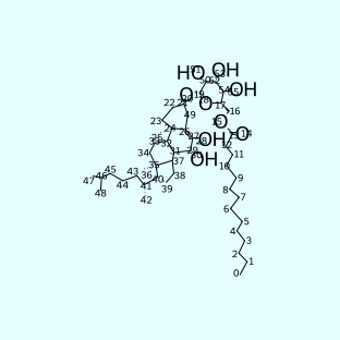 CCCCCCCCCCCCCC(=O)OC[C@H]1O[C@H](OC2CC[C@@]3(C)C(=C(O)C(O)C4C3CC[C@@]3(C)C4CC[C@@H]3[C@H](C)CCCC(C)C)C2)[C@H](O)[C@H](O)[C@H]1O